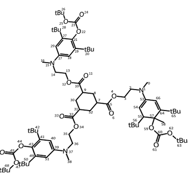 CN(CCOC(=O)C1CC(C(=O)OCCN(C)c2cc(C(C)(C)C)c(OC(=O)OC(C)(C)C)c(C(C)(C)C)c2)CC(C(=O)OCCN(C)c2cc(C(C)(C)C)c(OC(=O)OC(C)(C)C)c(C(C)(C)C)c2)C1)C1=CC(C(C)(C)C)C(C)(OC(=O)OC(C)(C)C)C(C(C)(C)C)=C1